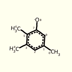 Cc1cc(C)c(C)c([O])c1